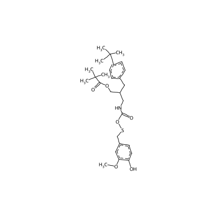 COc1cc(CSOC(=O)NCC(COC(=O)C(C)(C)C)Cc2ccc(C(C)(C)C)cc2)ccc1O